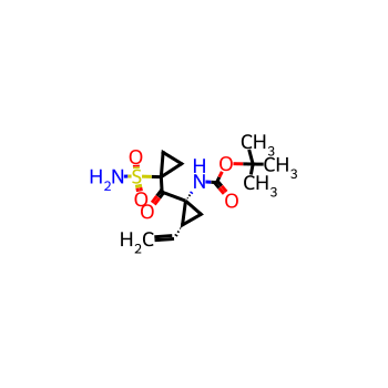 C=C[C@H]1C[C@]1(NC(=O)OC(C)(C)C)C(=O)C1(S(N)(=O)=O)CC1